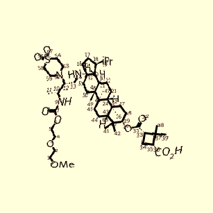 COCCOCCOC(=O)N[C@H](C)[C@@H](CN[C@]12CC[C@@H](C(C)C)[C@@H]1[C@H]1CC[C@@H]3[C@@]4(C)CC[C@H](OC(=O)[C@H]5C[C@@H](C(=O)O)C5(C)C)C(C)(C)[C@@H]4CC[C@@]3(C)[C@]1(C)CC2)N1CCS(=O)(=O)CC1